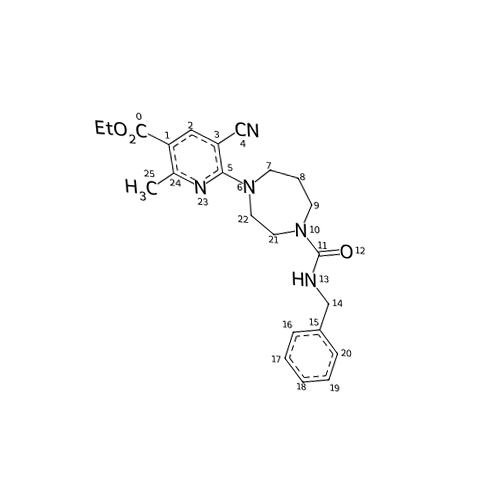 CCOC(=O)c1cc(C#N)c(N2CCCN(C(=O)NCc3ccccc3)CC2)nc1C